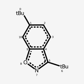 CC(C)(C)c1ccc2c(C(C)(C)C)noc2c1